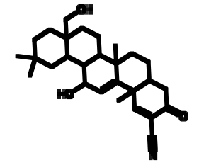 CC1(C)CCC2(CO)CCC3C(C(O)C=C4C5(C)C=C(C#N)C(=O)CC5CCC43C)C2C1